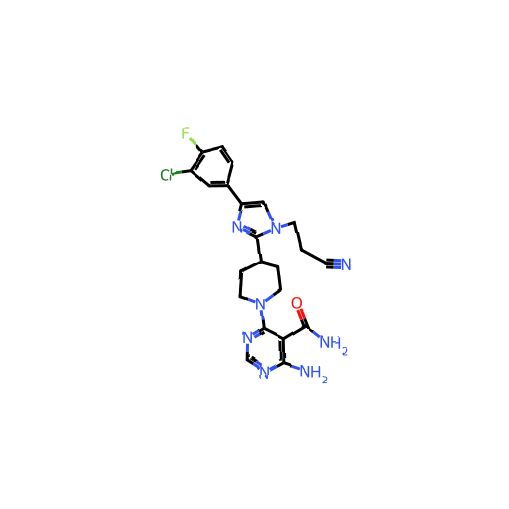 N#CCCn1cc(-c2ccc(F)c(Cl)c2)nc1C1CCN(c2ncnc(N)c2C(N)=O)CC1